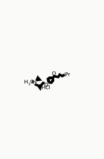 CC(C)CCCC(=O)c1ccc(OCC2CC2CN(C)C2CC2)cc1.Cl